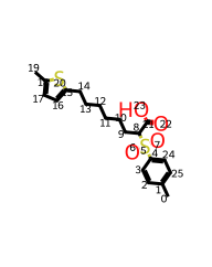 Cc1ccc(S(=O)(=O)C(CCCCCCc2ccc(C)s2)C(=O)O)cc1